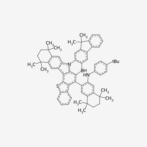 CC(C)(C)c1ccc(Nc2cc3c(cc2-c2c4c5c(c6cc7c(cc6n5-c5cc6c(cc5B4)-c4ccccc4C6(C)C)C(C)(C)CCC7(C)C)c4sc5ccccc5c24)C(C)(C)CCC3(C)C)cc1